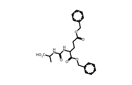 CC(NC(=O)NC(CCC(=O)OCc1ccccc1)C(=O)OCc1ccccc1)C(=O)O